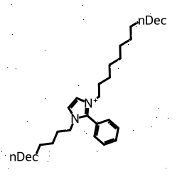 CCCCCCCCCCCCCCCCCC[n+]1ccn(CCCCCCCCCCCCCC)c1-c1ccccc1